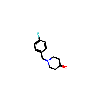 O=C1CCN(Cc2ccc(F)cc2)CC1